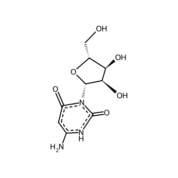 Nc1cc(=O)n([C@@H]2O[C@H](CO)[C@@H](O)[C@H]2O)c(=O)[nH]1